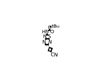 CC(C)(C)OC(=O)Nc1nc2ncc([C@H]3C[C@H](C#N)C3)nc2s1